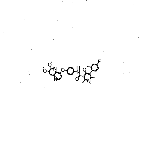 COc1cc2nccc(Oc3ccc(NC(=O)c4c(C)n(C)c(C)c(-c5ccc(F)cc5C)c4=O)cc3)c2nc1OC